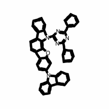 c1ccc(-c2nc(-c3ccccc3)nc(-n3c4ccccc4c4ccc5c6ccc(-n7c8ccccc8c8ccccc87)cc6oc5c43)n2)cc1